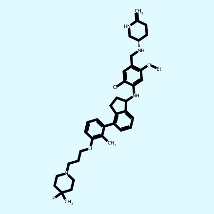 C=C1CC[C@H](NCc2cc(Cl)c(NC3CCc4c(-c5cccc(OCCCN6CCC(C)(F)CC6)c5C)cccc43)cc2OCC)CN1